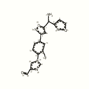 NC(c1ccon1)c1cc(-c2ccc(-n3cnc(C=O)c3)c(F)c2)no1